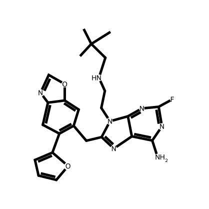 CC(C)(C)CNCCn1c(Cc2cc3ocnc3cc2-c2ccco2)nc2c(N)nc(F)nc21